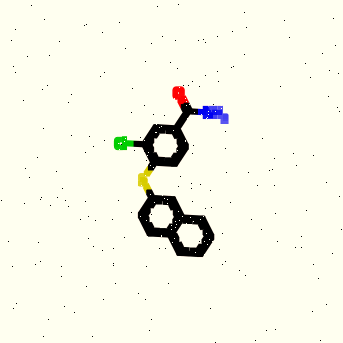 NC(=O)c1ccc(Sc2ccc3ccccc3c2)c(Cl)c1